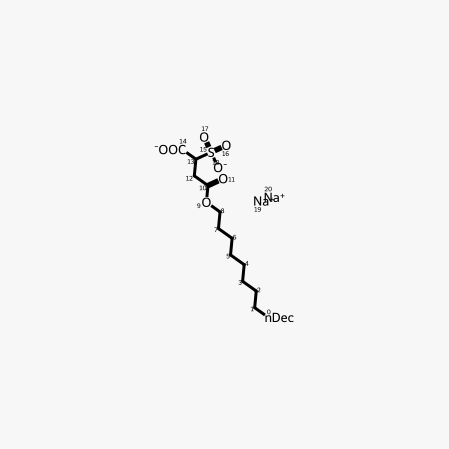 CCCCCCCCCCCCCCCCCCOC(=O)CC(C(=O)[O-])S(=O)(=O)[O-].[Na+].[Na+]